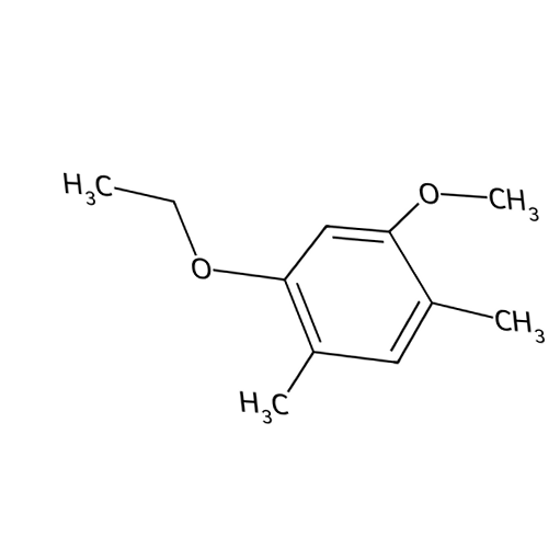 CCOc1cc(OC)c(C)cc1C